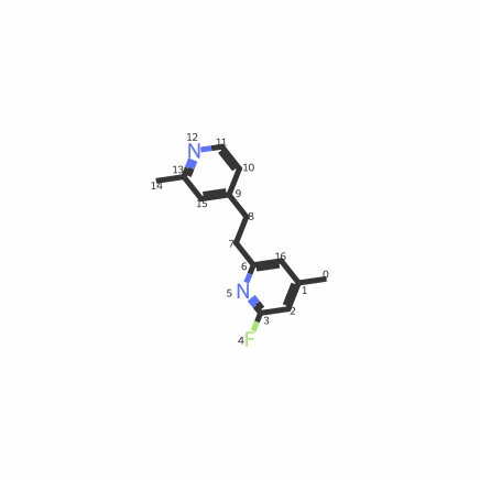 Cc1cc(F)nc(CCc2ccnc(C)c2)c1